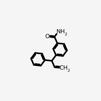 C=CC(c1ccccc1)c1cccc(C(N)=O)c1